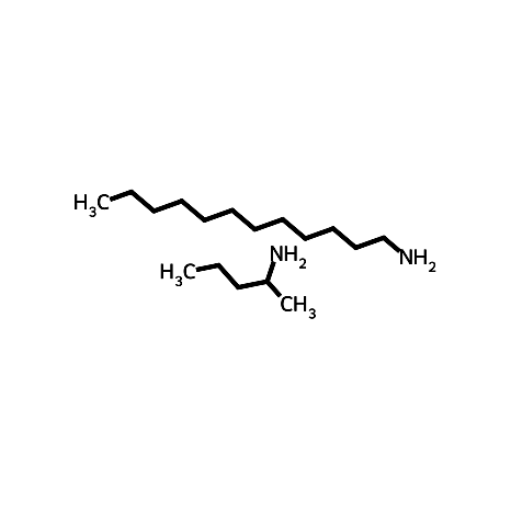 CCCC(C)N.CCCCCCCCCCCCN